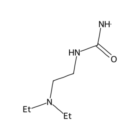 CCN(CC)CCNC([NH])=O